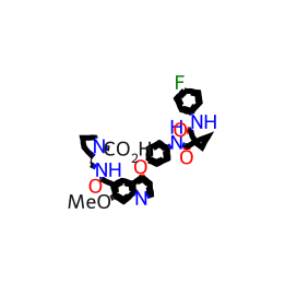 COc1cc2nccc(Oc3ccc(NC(=O)C4(C(=O)Nc5ccc(F)cc5)CC4)cc3)c2cc1C(=O)NC[C@@H]1CCCN1C(=O)O